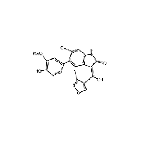 COc1cc(-c2cc3c(cc2Cl)NC(=O)C3=C(O)c2conc2C)ccc1O